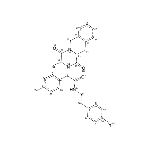 Cc1ccc(C(C(=O)NCCc2ccc(O)cc2)N2C(=O)C3Cc4ccccc4CN3C(=O)C2C)cc1